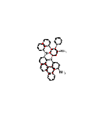 Nc1ccc(N(c2ccccc2)c2cccc(-c3ccccc3)c2N(c2ccccc2)c2ccc(N)c(-c3ccccc3)c2-c2ccccc2)c(-c2ccccc2)c1-c1ccccc1